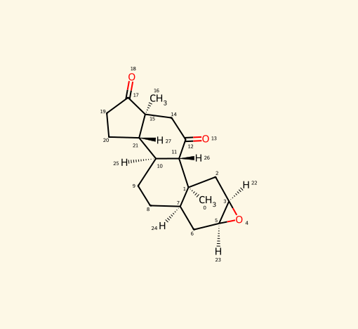 C[C@]12C[C@H]3O[C@H]3C[C@H]1CC[C@@H]1[C@@H]2C(=O)C[C@]2(C)C(=O)CC[C@@H]12